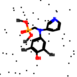 CCOP(=O)(CN(c1cccnc1)c1cc(C(C)(C)C)c(O)c(C(C)(C)C)c1)OCC